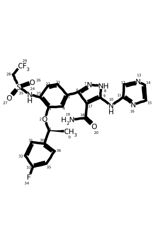 C[C@H](Oc1cc(-c2n[nH]c(Nc3cnccn3)c2C(N)=O)ccc1NS(=O)(=O)CC(F)(F)F)c1ccc(F)cc1